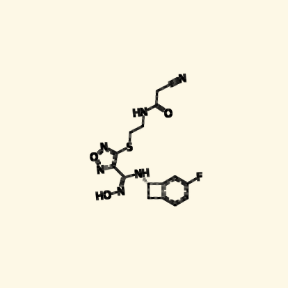 N#CCC(=O)NCCSc1nonc1/C(=N\O)N[C@H]1Cc2ccc(F)cc21